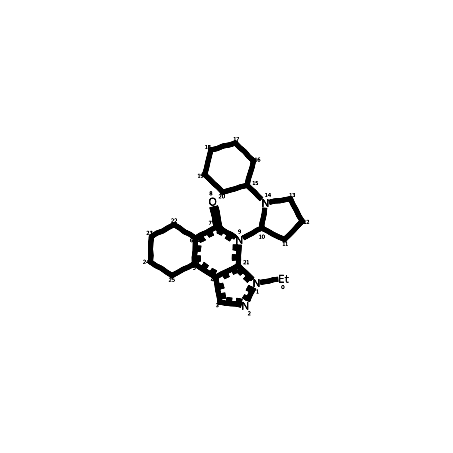 CCn1ncc2c3c(c(=O)n(C4CCCN4C4CCCCC4)c21)CCCC3